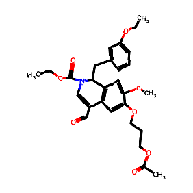 CCOC(=O)N1C=C(C=O)c2cc(OCCCOC(C)=O)c(OC)cc2C1Cc1cccc(OCC)c1